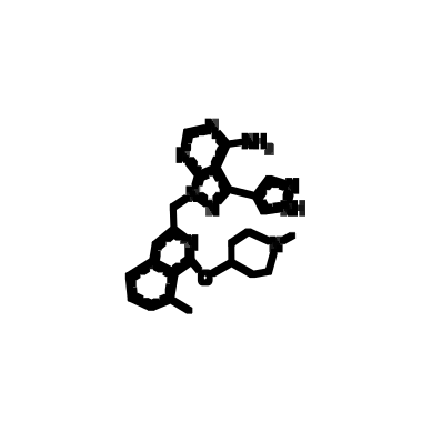 Cc1cccc2cc(Cn3nc(-c4cn[nH]c4)c4c(N)ncnc43)nc(OC3CCN(C)CC3)c12